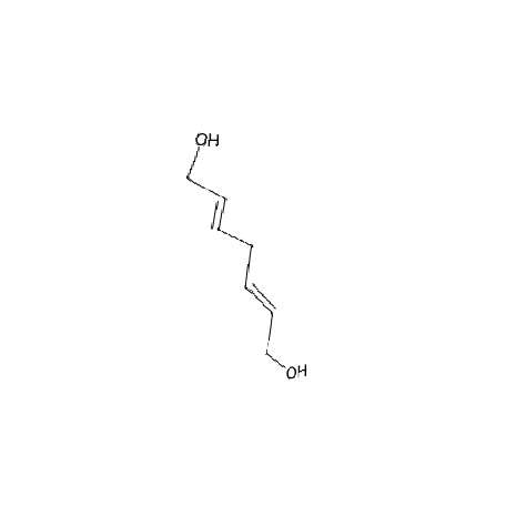 OCC=CCC=CCO